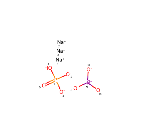 O=P([O-])([O-])O.[Na+].[Na+].[Na+].[O-][I+2]([O-])[O-]